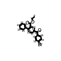 CCOC(=O)c1nc(C(=O)c2ccc(Br)cc2)cnc1-c1ccccc1